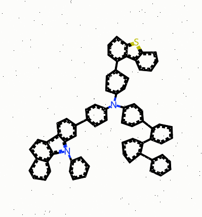 c1ccc(-c2ccccc2-c2ccccc2-c2ccc(N(c3ccc(-c4ccc5c6ccc7ccccc7c6n(-c6ccccc6)c5c4)cc3)c3ccc(-c4cccc5sc6ccccc6c45)cc3)cc2)cc1